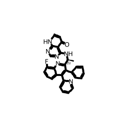 C[C@H](Nc1ncnc2[nH]ccc(=O)c12)c1nc2c(F)cccc2c(-c2ccccn2)c1-c1ccccc1